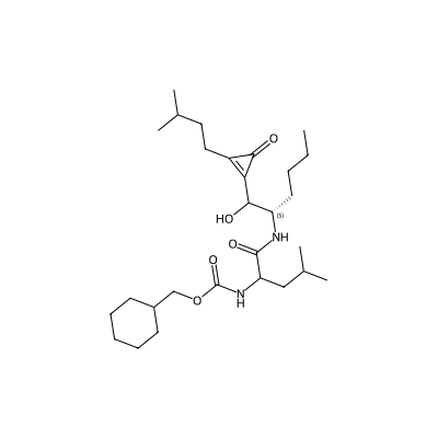 CCCC[C@H](NC(=O)C(CC(C)C)NC(=O)OCC1CCCCC1)C(O)c1c(CCC(C)C)c1=O